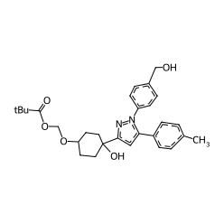 Cc1ccc(-c2cc(C3(O)CCC(OCOC(=O)C(C)(C)C)CC3)nn2-c2ccc(CO)cc2)cc1